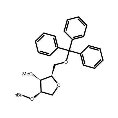 CCCCO[C@@H]1CO[C@H](COC(c2ccccc2)(c2ccccc2)c2ccccc2)[C@H]1OC